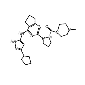 CN1CCN(C(=O)[C@@H]2CCCN2c2nc3c(c(Nc4cc(C5CCCC5)n[nH]4)n2)CCC3)CC1